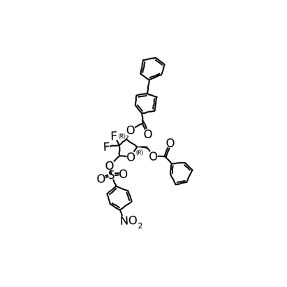 O=C(OC[C@H]1OC(OS(=O)(=O)c2ccc([N+](=O)[O-])cc2)C(F)(F)[C@@H]1OC(=O)c1ccc(-c2ccccc2)cc1)c1ccccc1